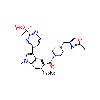 COc1cc2c(cc1C(=O)N1CCN(Cc3coc(C)n3)CC1)c(-c1ccnc(C(C)(C)O)n1)cn2C